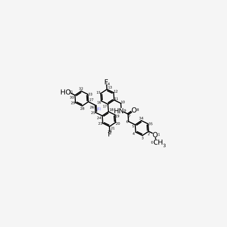 COc1ccc(CC(=O)NCc2cc(F)ccc2-c2ccc(F)cc2/C=C/c2ccc(O)cc2)cc1